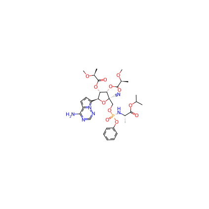 CO[C@@H](C)C(=O)O[C@H]1[C@H](c2ccc3c(N)ncnn23)O[C@](C#N)(CO[P@@](=O)(N[C@@H](C)C(=O)OC(C)C)Oc2ccccc2)[C@H]1OC(=O)[C@H](C)OC